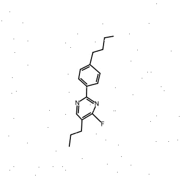 CCCCc1ccc(-c2ncc(CCC)c(F)n2)cc1